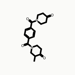 CC1CN(C(=O)c2ccc(C(=O)N3CCC(=O)CC3)cc2)CCC1=O